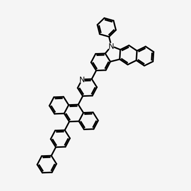 c1ccc(-c2ccc(-c3c4ccccc4c(-c4ccc(-c5ccc6c(c5)c5cc7ccccc7cc5n6-c5ccccc5)nc4)c4ccccc34)cc2)cc1